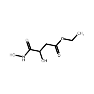 CCOC(=O)CC(O)C(=O)NO